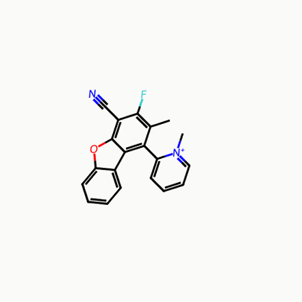 Cc1c(F)c(C#N)c2oc3ccccc3c2c1-c1cccc[n+]1C